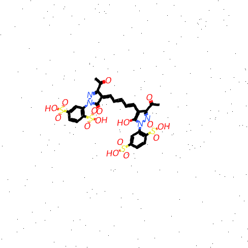 CC(=O)C1=NN(c2cc(S(=O)(=O)O)ccc2S(=O)(=O)O)C(=O)\C1=C/C=C/C=C/c1c(C(C)=O)nn(-c2cc(S(=O)(=O)O)ccc2S(=O)(=O)O)c1O